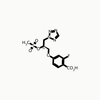 CS(=O)(=O)O[C@H](COc1ccc(C(=O)O)c(F)c1)Cn1ncnn1